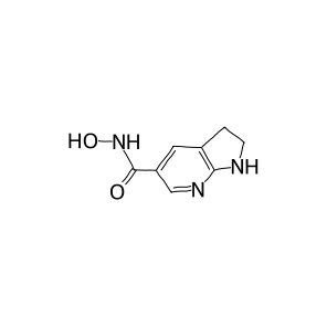 O=C(NO)c1cnc2c(c1)CCN2